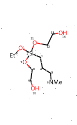 CCO[Si](CCCNC)(OCCO)OCCO